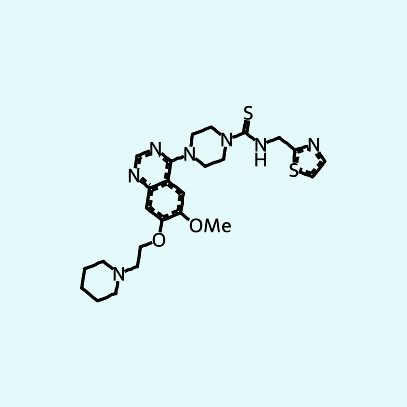 COc1cc2c(N3CCN(C(=S)NCc4nccs4)CC3)ncnc2cc1OCCN1CCCCC1